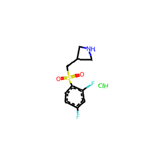 Cl.O=S(=O)(CC1CNC1)c1ccc(F)cc1F